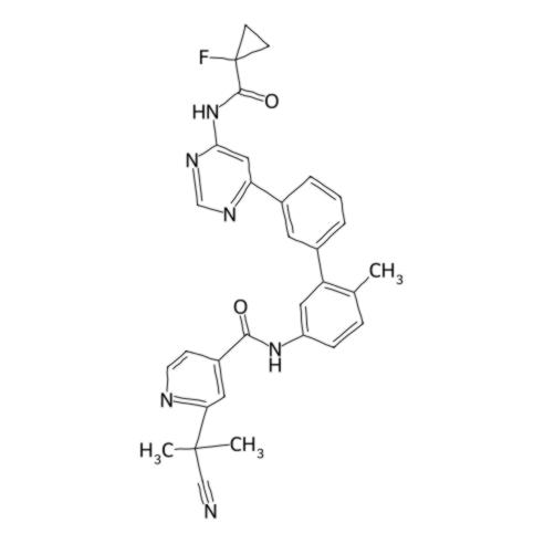 Cc1ccc(NC(=O)c2ccnc(C(C)(C)C#N)c2)cc1-c1cccc(-c2cc(NC(=O)C3(F)CC3)ncn2)c1